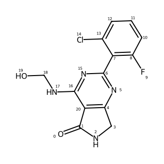 O=C1NCc2nc(-c3c(F)cccc3Cl)nc(NCO)c21